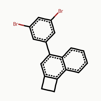 Brc1cc(Br)cc(-c2cc3c(c4ccccc24)CC3)c1